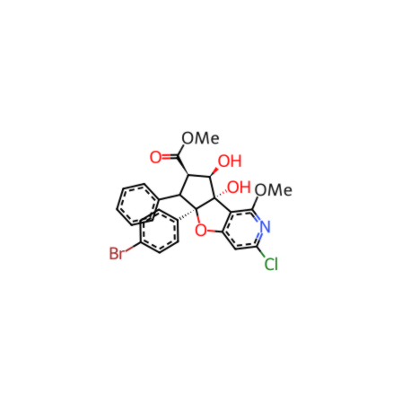 COC(=O)[C@@H]1C(c2ccccc2)[C@]2(c3ccc(Br)cc3)Oc3cc(Cl)nc(OC)c3[C@]2(O)[C@@H]1O